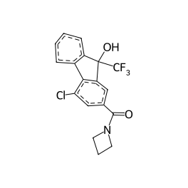 O=C(c1cc(Cl)c2c(c1)C(O)(C(F)(F)F)c1ccccc1-2)N1CCC1